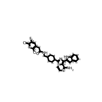 Nc1nccn2c(C3CCC(CNC(=O)Cc4cc(F)c(Cl)nc4Cl)CC3)nc(-c3cc4ccccc4[nH]3)c12